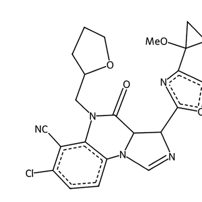 COC1(c2noc(C3N=CN4c5ccc(Cl)c(C#N)c5N(CC5CCCO5)C(=O)C34)n2)CC1